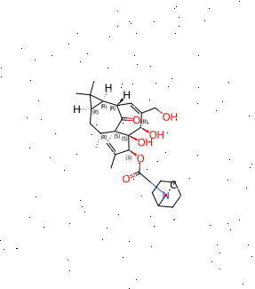 CC1=C[C@]23C(=O)[C@@H](C=C(CO)[C@@H](O)[C@]2(O)[C@H]1OC(=O)N1CC2CCC(CC2)C1)[C@H]1[C@@H](C[C@H]3C)C1(C)C